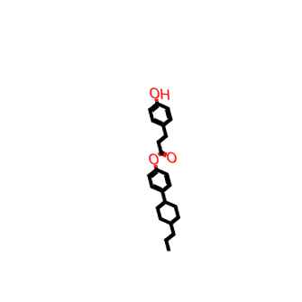 CCCC1CCC(c2ccc(OC(=O)CCc3ccc(O)cc3)cc2)CC1